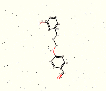 O=Cc1ccc(OCCCc2cccc(Br)c2)cc1